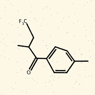 Cc1ccc(C(=O)C(C)CC(F)(F)F)cc1